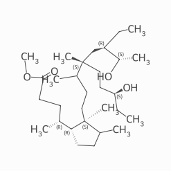 CC[C@H](O)CC[C@@](C)(C[C@@H](CC)[C@H](C)O)C(C)CC[C@@]1(C)C(C)CC[C@@H]1[C@H](C)CCC(=O)OC